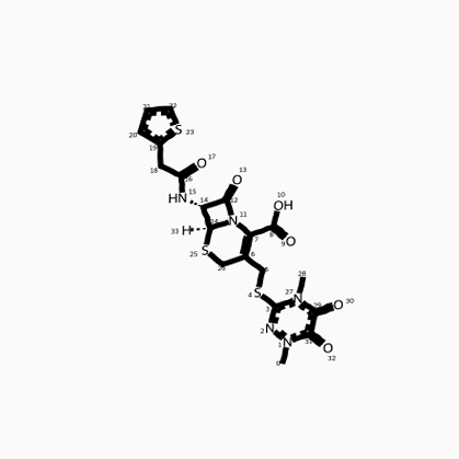 Cn1nc(SCC2=C(C(=O)O)N3C(=O)[C@@H](NC(=O)Cc4cccs4)[C@@H]3SC2)n(C)c(=O)c1=O